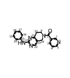 O=C(c1cccnc1)N1CCc2nc(Nc3ccccc3)ncc2C1